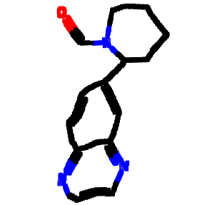 O=CN1CCCCC1c1ccc2nccnc2c1